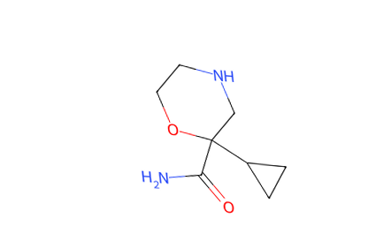 NC(=O)C1(C2CC2)CNCCO1